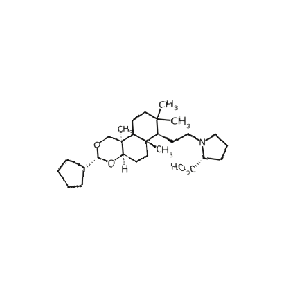 CC1(C)CCC2[C@]3(C)CO[C@@H](C4CCCC4)O[C@@H]3CC[C@@]2(C)[C@@H]1CCN1CCC[C@@H]1C(=O)O